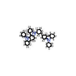 c1ccc(-n2c3ccccc3c3cc(-c4cccc(-n5c6ccccc6c6c5ccc5c7ccccc7n(-c7ccccc7)c56)c4)ccc32)cc1